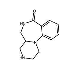 O=C1NCC2CNCCN2c2ccccc21